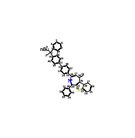 CCCCC1(C)c2ccccc2-c2cc(-c3ccc(C4=CC(C)C5=C(SC6=CC=CCC65)C(c5ccccc5)=N4)cc3)ccc21